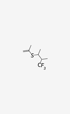 C=C(C)SC(C)C(C)C(F)(F)F